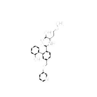 CSCCC(NC(=O)c1ccc(COc2cccnc2)cc1-c1ccccc1C)C(=O)O